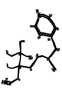 CC(CCC(C)(CO)C(C)(C)C)Cc1ccncc1